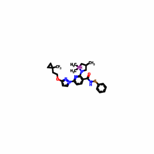 CC1CN(c2nc(-n3ccc(OCCC4(C(F)(F)F)CC4)n3)ccc2C(=O)NSc2ccccc2)[PH](C)(C)C1